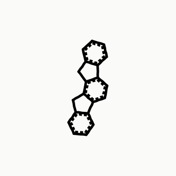 c1ccc2c(c1)Cc1c-2ccc2c1Cc1ccccc1-2